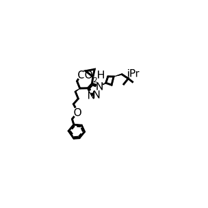 CC(C)C(C)(C)C[C@H]1C[C@@H](n2nnc([C@@H](CCCOCc3ccccc3)CC(=O)O)c2C2CC2)C1